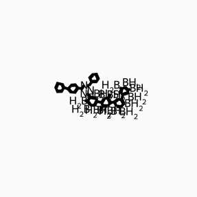 Bc1c(B)c(-c2nc(-c3ccccc3)nc(-c3ccc(-c4ccccc4)cc3)n2)c(B)c(-c2c(B)c(B)c(-c3c(B)c(B)c(B)c4c3sc3c(B)c(B)c(B)c(B)c34)c(B)c2B)c1B